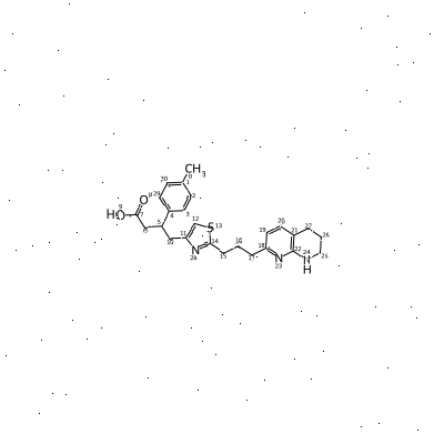 Cc1ccc(C(CC(=O)O)Cc2csc(CCCc3ccc4c(n3)NCCC4)n2)cc1